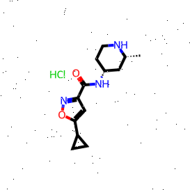 C[C@@H]1C[C@H](NC(=O)c2cc(C3CC3)on2)CCN1.Cl